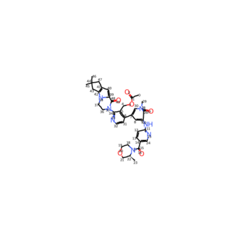 CC(=O)OCc1c(-c2cc(Nc3ccc(C(=O)N4CCOC[C@@H]4C)cn3)c(=O)n(C)c2)ccnc1N1CCn2c(cc3c2CC(C)(C)C3)C1=O